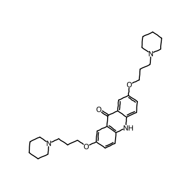 O=c1c2cc(OCCCN3CCCCC3)ccc2[nH]c2ccc(OCCCN3CCCCC3)cc12